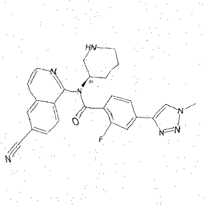 Cn1cc(-c2ccc(C(=O)N(c3nccc4cc(C#N)ccc34)[C@@H]3CCCNC3)c(F)c2)nn1